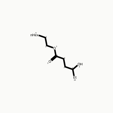 CCCCCCCCOC(=O)CCC(O)CC